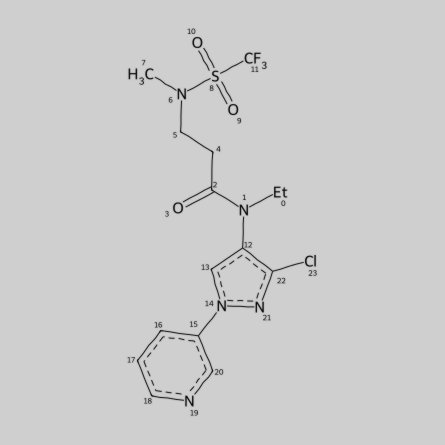 CCN(C(=O)CCN(C)S(=O)(=O)C(F)(F)F)c1cn(-c2cccnc2)nc1Cl